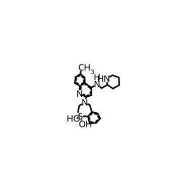 Cc1ccc2nc(N3CCS(O)(O)c4ccccc4C3)cc(NCC3CCCCN3)c2c1